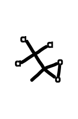 CC1(C(Cl)(Cl)Cl)OO1